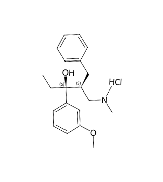 CC[C@@](O)(c1cccc(OC)c1)[C@@H](Cc1ccccc1)CN(C)C.Cl